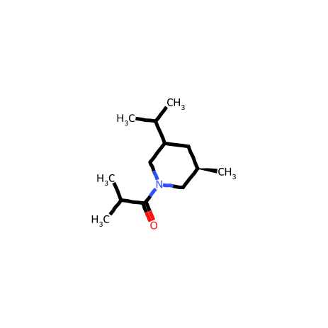 CC(C)C(=O)N1CC(C(C)C)C[C@@H](C)C1